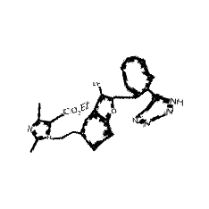 CCOC(=O)c1c(C)nc(C)n1Cc1ccc2oc(-c3ccccc3-c3nnn[nH]3)c(Br)c2c1